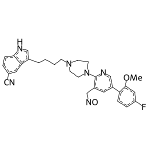 COc1cc(F)ccc1-c1cnc(N2CCN(CCCCc3c[nH]c4ccc(C#N)cc34)CC2)c(CN=O)c1